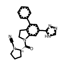 N#CN1CCC[C@H]1C(=O)N1CCc2c(-c3ccccc3)cc(-c3nnc[nH]3)cc21